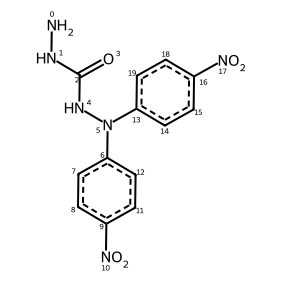 NNC(=O)NN(c1ccc([N+](=O)[O-])cc1)c1ccc([N+](=O)[O-])cc1